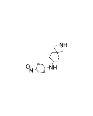 O=Nc1ccc(NC2CCC3(CCNC3)CC2)cc1